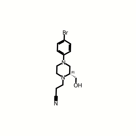 N#CCCN1CCN(c2ccc(Br)cc2)C[C@@H]1CO